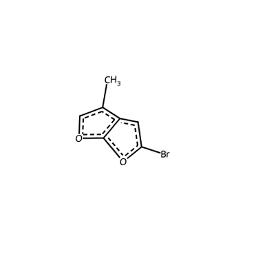 Cc1coc2oc(Br)cc12